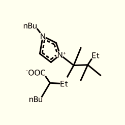 CCCCC(CC)C(=O)[O-].CCCCn1cc[n+](C(C)(C)C(C)(C)CC)c1